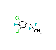 CC(F)(F)Cc1cc(Cl)c(F)c(Cl)c1